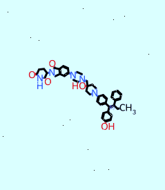 CC/C(=C(\c1ccc(O)cc1)c1ccc(N2CCC(O)(CN3CCN(c4ccc5c(c4)CN(C4CCC(=O)NC4=O)C5=O)CC3)CC2)cc1)c1ccccc1